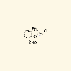 O=Cc1cccc(Br)c1O/C(Cl)=C/Cl